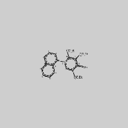 CCOC(=O)c1cn(-c2cccc3ccccc23)c(C(=O)OCC)c(C(=O)OCC)c1=O